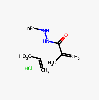 C=C(C)C(=O)NNCCC.C=CC(=O)O.Cl